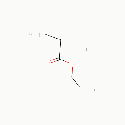 CCCCCCCCOC(=O)CCCCCCCC.[SnH2]